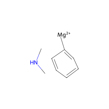 CNC.[Mg+2][c]1ccccc1